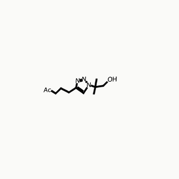 CC(=O)CCCc1cn(C(C)(C)CO)nn1